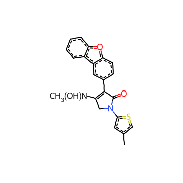 Cc1csc(N2CC(N(C)O)=C(c3ccc4oc5ccccc5c4c3)C2=O)c1